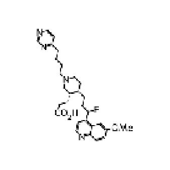 COc1ccc2nccc([C@H](F)CC[C@@H]3CCN(CCCCc4ccncn4)C[C@H]3CCC(=O)O)c2c1